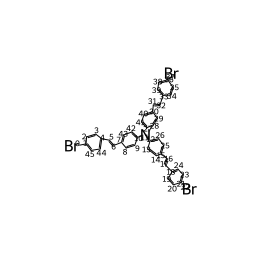 Brc1ccc(C=Cc2ccc(N(c3ccc(C=Cc4ccc(Br)cc4)cc3)c3ccc(C=Cc4ccc(Br)cc4)cc3)cc2)cc1